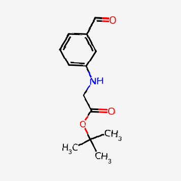 CC(C)(C)OC(=O)CNc1cccc(C=O)c1